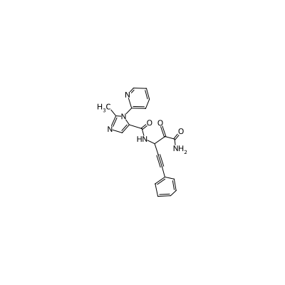 Cc1ncc(C(=O)NC(C#Cc2ccccc2)C(=O)C(N)=O)n1-c1ccccn1